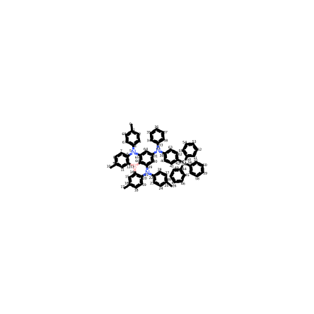 Cc1ccc(N2c3ccc(C)cc3B3c4cc(C)ccc4N(c4ccc(C)cc4)c4cc(N(c5ccccc5)c5ccc([Si](c6ccccc6)(c6ccccc6)c6ccccc6)cc5)cc2c43)cc1